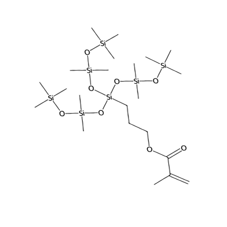 C=C(C)C(=O)OCCC[Si](O[Si](C)(C)O[Si](C)(C)C)(O[Si](C)(C)O[Si](C)(C)C)O[Si](C)(C)O[Si](C)(C)C